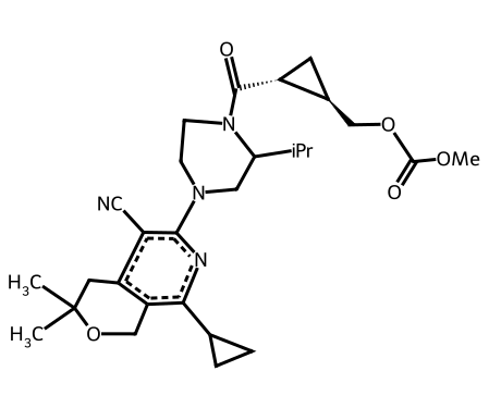 COC(=O)OC[C@@H]1C[C@H]1C(=O)N1CCN(c2nc(C3CC3)c3c(c2C#N)CC(C)(C)OC3)CC1C(C)C